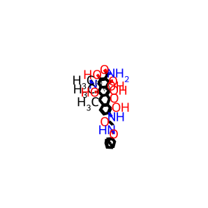 CC1c2ccc(NC(=O)CNOC3CC4CCC3CC4)c(O)c2C(=O)C2=C(O)[C@]3(O)C(=O)C(C(N)=O)=C(O)[C@@H](N(C)C)C3C(O)C21